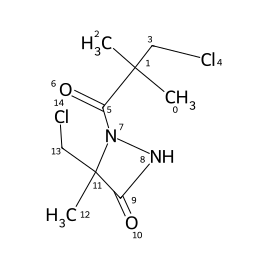 CC(C)(CCl)C(=O)N1NC(=O)C1(C)CCl